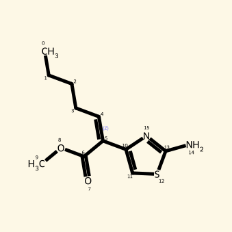 CCCC/C=C(\C(=O)OC)c1csc(N)n1